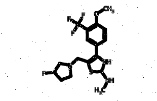 CNC1NC(c2ccc(OC)c(C(F)(F)F)c2)=C(CN2CCC(F)C2)S1